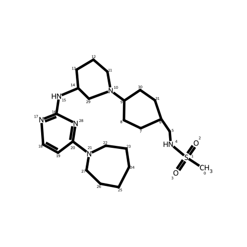 CS(=O)(=O)NCC1CCC(N2CCCC(Nc3nccc(N4CCCCCC4)n3)C2)CC1